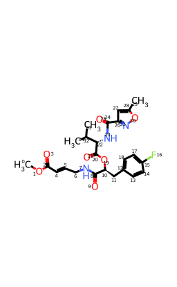 COC(=O)/C=C/CNC(=O)[C@H](Cc1ccc(F)cc1)OC(=O)[C@@H](NC(=O)c1cc(C)on1)C(C)C